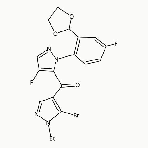 CCn1ncc(C(=O)c2c(F)cnn2-c2ccc(F)cc2C2OCCO2)c1Br